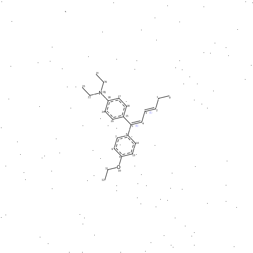 CC/C=C/C=C(/c1ccc(OCC)cc1)c1ccc(N(CC)CC)cc1